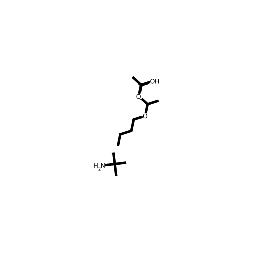 CC(C)(C)N.CCCCOC(C)OC(C)O